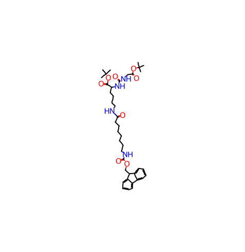 CC(C)(C)OC(=O)CNC(=O)NC(CCCCNC(=O)CCCCCCCNC(=O)OCC1c2ccccc2-c2ccccc21)C(=O)OC(C)(C)C